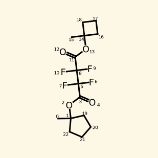 CC1(OC(=O)C(F)(F)C(F)(F)C(=O)OC2(C)CCC2)CCCC1